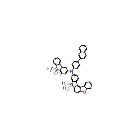 C[Si]1(C)c2ccccc2-c2cc(N(c3ccc(-c4ccc5ccccc5c4)cc3)c3ccc4c(c3)[Si](C)(C)c3ccc5oc6ccccc6c5c3-4)ccc21